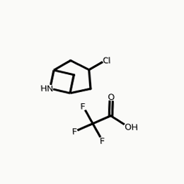 ClC1CC2CC(C1)N2.O=C(O)C(F)(F)F